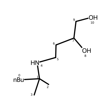 CCCCC(C)(C)NCCC(O)CO